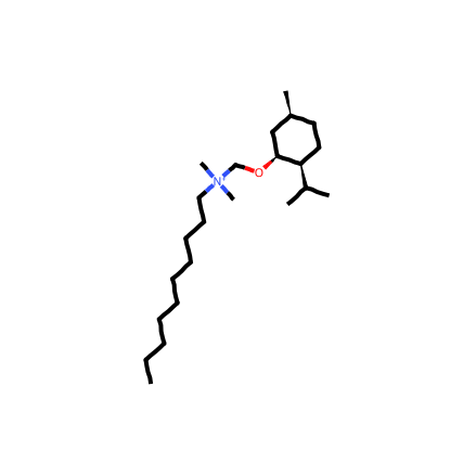 CCCCCCCCCC[N+](C)(C)CO[C@H]1C[C@@H](C)CC[C@H]1C(C)C